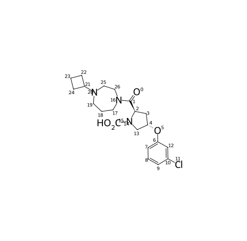 O=C([C@H]1C[C@H](Oc2cccc(Cl)c2)CN1C(=O)O)N1CCCN(C2CCC2)CC1